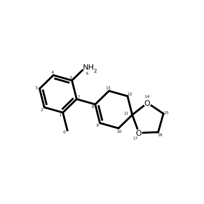 Cc1cccc(N)c1C1=CCC2(CC1)OCCO2